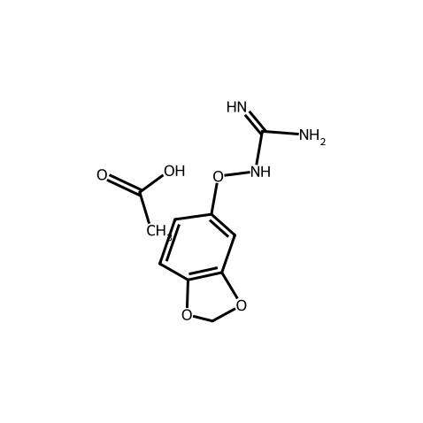 CC(=O)O.N=C(N)NOc1ccc2c(c1)OCO2